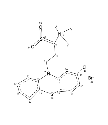 C[N+](C)(C)C(CCN1c2ccccc2Sc2ccc(Cl)cc21)=S(=O)=O.[Br-]